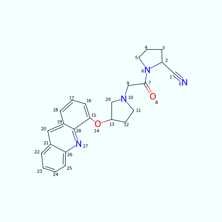 N#CC1CCCN1C(=O)CN1CCC(Oc2cccc3cc4ccccc4nc23)C1